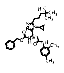 Cc1ccc(NC(=O)C[C@H](NC(=O)OCc2ccccc2)c2nnc(CCCC(C)(C)C)n2C2CC2)c(C)c1